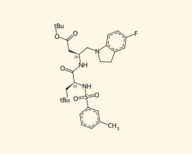 Cc1cccc(S(=O)(=O)N[C@@H](CC(C)(C)C)C(=O)N[C@@H](CC(=O)OC(C)(C)C)CN2CCc3cc(F)ccc32)c1